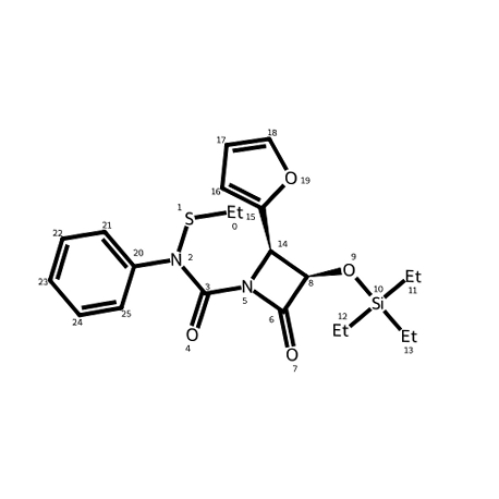 CCSN(C(=O)N1C(=O)[C@H](O[Si](CC)(CC)CC)[C@@H]1c1ccco1)c1ccccc1